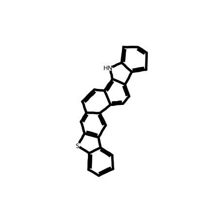 c1ccc2c(c1)[nH]c1c2ccc2c3cc4c(cc3ccc21)sc1ccccc14